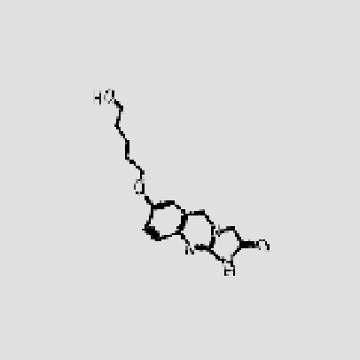 O=C1CN2Cc3cc(OCCCCCO)ccc3N=C2N1